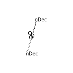 CCCCCCCCCCCCCCCCCCOOC(=O)CCCCCCCCCCCCCCCCC